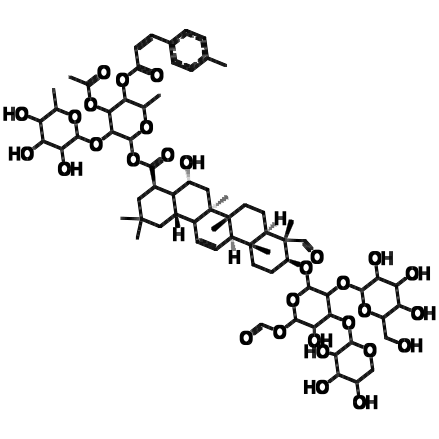 CC(=O)OC1C(OC(=O)/C=C\c2ccc(C)cc2)C(C)OC(OC(=O)[C@@H]2CC(C)(C)C[C@@H]3C2[C@H](O)C[C@]2(C)C3C=C[C@@H]3[C@@]4(C)CC[C@H](OC5OC(OC=O)C(O)C(OC6OCC(O)C(O)C6O)C5OC5OC(CO)C(O)C(O)C5O)[C@@](C)(C=O)[C@@H]4CC[C@]32C)C1OC1OC(C)C(O)C(O)C1O